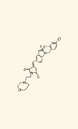 O=C1S/C(=C\c2ccc3c(cnn3Cc3ccc(Cl)cc3C(F)(F)F)c2)C(=O)N1CCN1CCOCC1